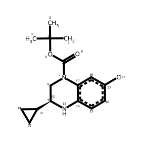 CC(C)(C)OC(=O)N1C[C@H](C2CC2)Nc2ccc(Cl)cc21